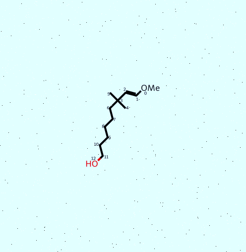 COC=CC(C)(C)CCCCCCO